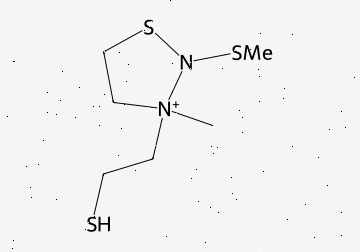 CSN1SCC[N+]1(C)CCS